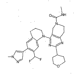 CNC(=O)N1CCc2nc(C3CCOCC3)nc(N3CCCc4cc(-c5cnn(C)c5)c(C(F)F)cc43)c2C1